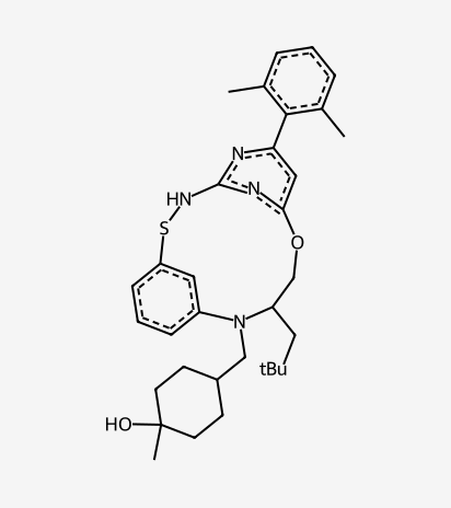 Cc1cccc(C)c1-c1cc2nc(n1)NSc1cccc(c1)N(CC1CCC(C)(O)CC1)C(CC(C)(C)C)CO2